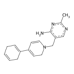 Cc1ncc(CN2C=CC(C3=CCC=CC3)=CC2)c(N)n1